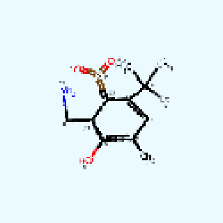 CCC(C)(C)C1=CC(C)=C(O)C(CN)C1=S(=O)=O